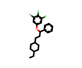 CCC1CCC(CCC(Oc2cc(F)c(F)c(F)c2)c2ccccc2)CC1